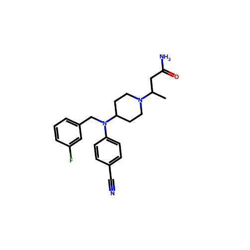 CC(CC(N)=O)N1CCC(N(Cc2cccc(F)c2)c2ccc(C#N)cc2)CC1